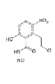 O=NNC(=O)c1c(O)ccc([N+](=O)[O-])c1CCCl